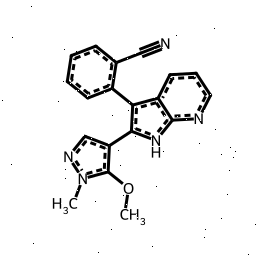 COc1c(-c2[nH]c3ncccc3c2-c2ccccc2C#N)cnn1C